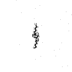 CCCCCOC1COC(CCCCC)OC1